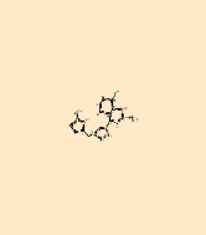 CC(C)n1ccc(Cn2cc(-c3nc(N)nc4c(F)cccc34)nn2)n1